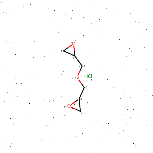 C(OCC1CO1)C1CO1.Cl